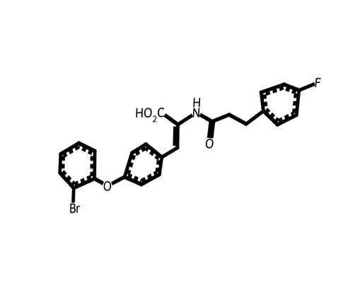 O=C(CCc1ccc(F)cc1)NC(=Cc1ccc(Oc2ccccc2Br)cc1)C(=O)O